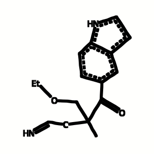 CCOCC(C)(CC=N)C(=O)c1ccc2[nH]ccc2c1